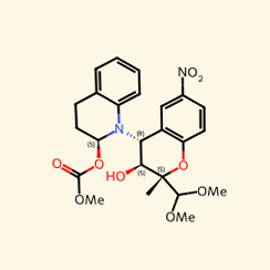 COC(=O)O[C@H]1CCc2ccccc2N1[C@@H]1c2cc([N+](=O)[O-])ccc2O[C@](C)(C(OC)OC)[C@H]1O